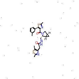 Cc1cccc(-c2sc(C)nc2C(=O)N2C[C@H]3C[C@H]3[C@H]2CNC(=O)Cc2nc(C)sc2C)c1